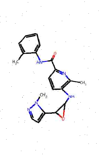 Cc1ccccc1NC(=O)c1ccc(NC2OC2c2ccnn2C)c(C)n1